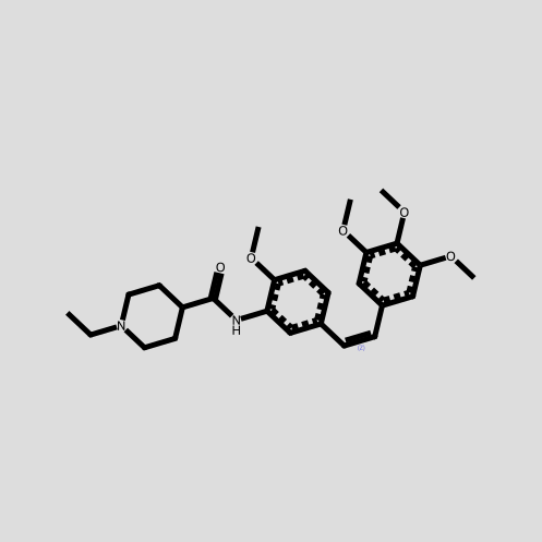 CCN1CCC(C(=O)Nc2cc(/C=C\c3cc(OC)c(OC)c(OC)c3)ccc2OC)CC1